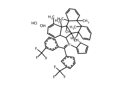 CC1=CC=CC2[CH]([Zr]([C]3=CC=CC3)=[C](c3cccc(C(F)(F)F)c3)c3cccc(C(F)(F)F)c3)C3(C)C4(C)C=CC=CC4(C)C4(C)C=CC=CC4(C)C3(C)C12C.Cl.Cl